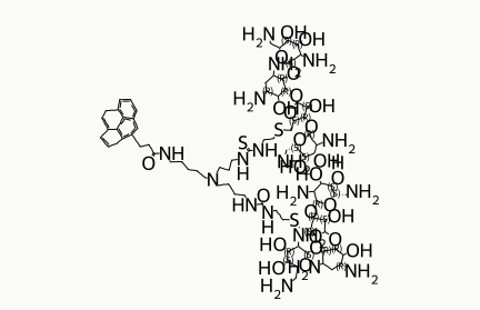 NCC1O[C@@H](O[C@@H]2C(N)C[C@@H](N)C(O)[C@H]2OC2O[C@H](CSCCNC(=O)NCCCCN(CCCCCNC(=O)CCc3cc4cccc5c4c4c3CC=CC4=CC5)CCCNC(=S)NCCSC[C@H]3OC(O[C@@H]4C(O)[C@H](N)CC(N)[C@H]4O[C@@H]4OC(CN)[C@@H](O)[C@H](O)C4N)[C@@H](O)[C@H]3O[C@H]3O[C@@H](CN)[C@@H](O)C(O)C3N)[C@H](O[C@H]3O[C@@H](CN)[C@@H](O)C(O)C3N)[C@@H]2O)C(N)[C@@H](O)[C@@H]1O